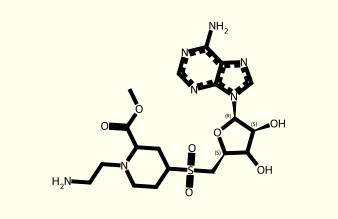 COC(=O)C1CC(S(=O)(=O)C[C@H]2O[C@@H](n3cnc4c(N)ncnc43)[C@@H](O)C2O)CCN1CCN